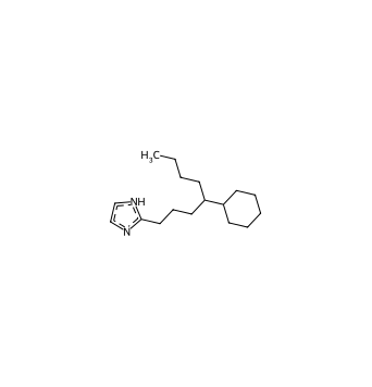 CCCCC(CCCc1ncc[nH]1)C1CCCCC1